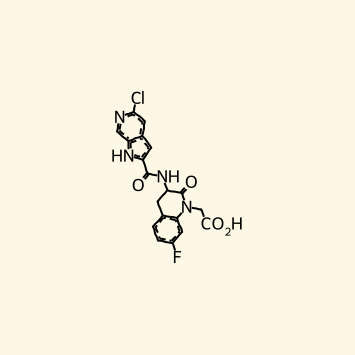 O=C(O)CN1C(=O)C(NC(=O)c2cc3cc(Cl)ncc3[nH]2)Cc2ccc(F)cc21